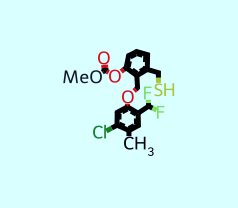 COC(=O)Oc1cccc(CS)c1COc1cc(Cl)c(C)cc1C(F)F